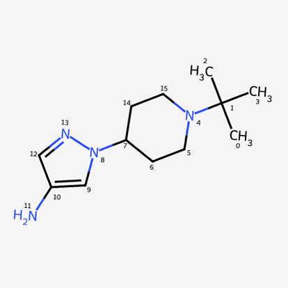 CC(C)(C)N1CCC(n2cc(N)cn2)CC1